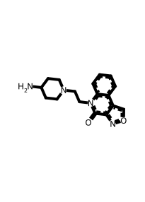 NC1CCN(CCn2c(=O)c3nocc3c3ccccc32)CC1